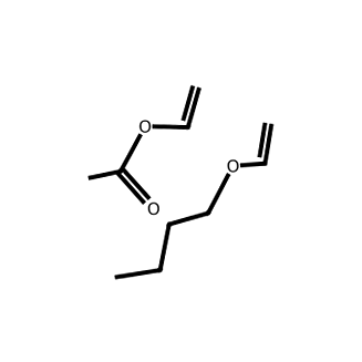 C=COC(C)=O.C=COCCCC